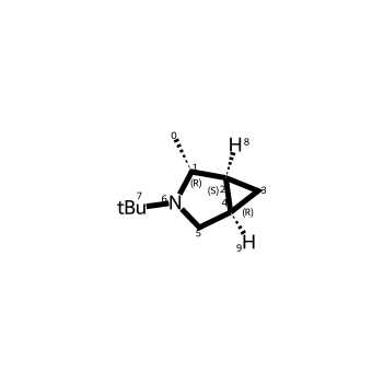 C[C@@H]1[C@H]2C[C@H]2CN1C(C)(C)C